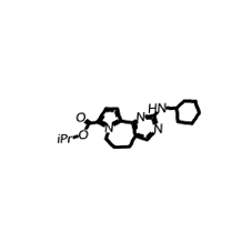 CC(C)OC(=O)c1ccc2n1CCCc1cnc(NC3CCCCC3)nc1-2